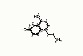 NCCc1ccc(O)c2[nH]c(=O)ccc12